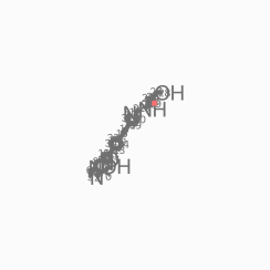 C[C@H](O)c1nccn1Cc1cc(-c2ccc(C#Cc3ccc(CNC45CC(CO)(C4)C5)nc3)cc2)on1